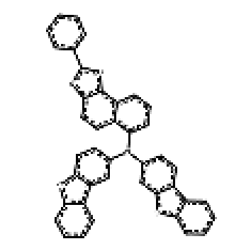 c1ccc(-c2nc3ccc4c(N(c5ccc6c(c5)oc5ccccc56)c5ccc6sc7ccccc7c6c5)cccc4c3o2)cc1